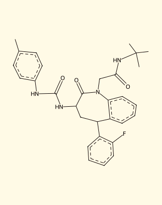 Cc1ccc(NC(=O)NC2CC(c3ccccc3F)c3ccccc3N(CC(=O)NC(C)(C)C)C2=O)cc1